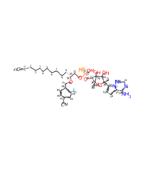 CCCCCCCCCCCCCCCCCCC[C@H](COP(O)(=P)OC1[C@H]2O[C@@](C)(c3ccc4c(N)ncnn34)[C@H](O)[C@@]12O)OCc1ccc(C#N)cc1F